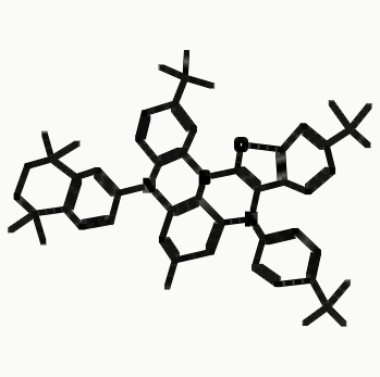 Cc1cc2c3c(c1)N(c1ccc(C(C)(C)C)cc1)c1c(oc4cc(C(C)(C)C)ccc14)B3c1cc(C(C)(C)C)ccc1N2c1ccc2c(c1)C(C)(C)CCC2(C)C